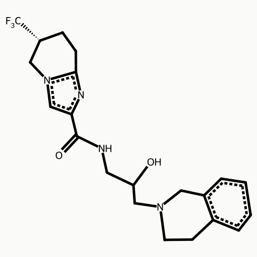 O=C(NCC(O)CN1CCc2ccccc2C1)c1cn2c(n1)CC[C@@H](C(F)(F)F)C2